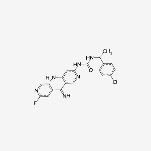 C[C@@H](NC(=O)Nc1cc(N)c(C(=N)c2ccnc(F)c2)cn1)c1ccc(Cl)cc1